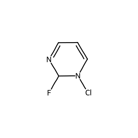 FC1N=CC=CN1Cl